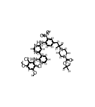 COc1cc(OC)c(Cl)c(Nc2ncccc2-c2cc(Nc3ccc(CC(C)(C)N4CCN(C(=O)OC(C)(C)C)CC4)cc3[N+](=O)[O-])ncn2)c1Cl